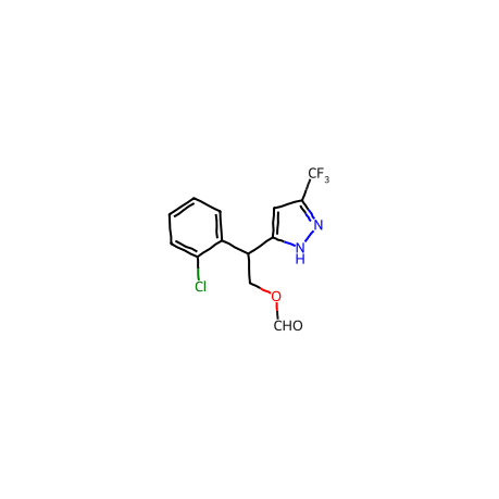 O=COCC(c1cc(C(F)(F)F)n[nH]1)c1ccccc1Cl